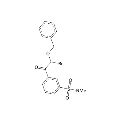 CNS(=O)(=O)c1cccc(C(=O)C(Br)OCc2ccccc2)c1